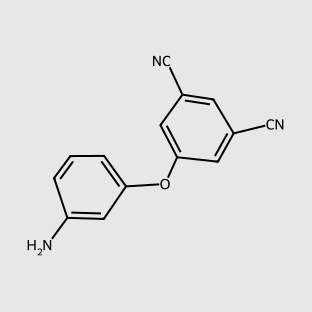 N#Cc1cc(C#N)cc(Oc2cccc(N)c2)c1